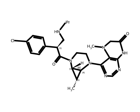 CC(C)NC[C@@H](C(=O)N1CCN(c2ncnc3c2N(C)CC(=O)N3)[C@@H]2[C@H](C)[C@@H]21)c1ccc(Cl)cc1